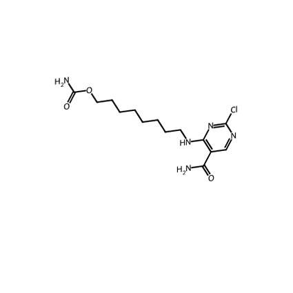 NC(=O)OCCCCCCCCNc1nc(Cl)ncc1C(N)=O